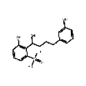 O=P(O)(O)c1cccc(O)c1C(O)CCCc1cccc(O)c1